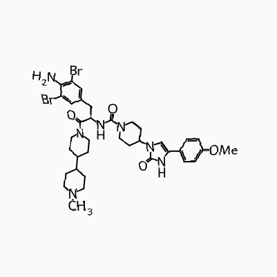 COc1ccc(-c2cn(C3CCN(C(=O)N[C@H](Cc4cc(Br)c(N)c(Br)c4)C(=O)N4CCC(C5CCN(C)CC5)CC4)CC3)c(=O)[nH]2)cc1